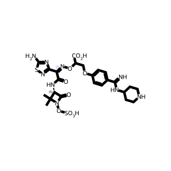 CC1(C)[C@H](NC(=O)/C(=N\OC(COc2ccc(C(=N)NC3CCNCC3)cc2)C(=O)O)c2nsc(N)n2)C(=O)N1OS(=O)(=O)O